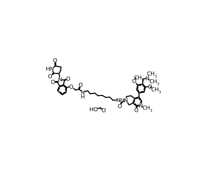 COc1cc(-c2cn(C)c(=O)c3c2CCN(C(=O)NCCCCCCCCNC(=O)COc2cccc4c2C(=O)N(C2CCC(=O)NC2=O)C4=O)C3)cc(OC)c1CN(C)C.O=CO